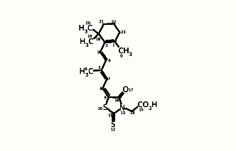 CC1=C(/C=C/C(C)=C/C=C2/SC(=S)N(CC(=O)O)C2=O)C(C)(C)CCC1